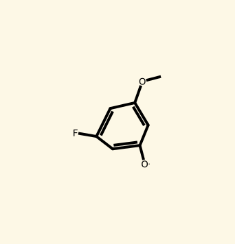 COc1cc([O])cc(F)c1